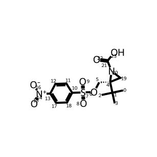 CC(C)(C)[C@]1(COS(=O)(=O)c2ccc([N+](=O)[O-])cc2)CN1C(=O)O